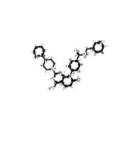 Cc1nc(N2CCN(c3ccccn3)CC2)nc2c1ccc(=O)n2-c1ccc(C(=O)NCc2cccnc2)cc1